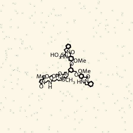 COCCOCCOCCN(CC(C)(C)SSCCCC(=O)NCCN1C(=O)C=CC1=O)c1cc(COc2cc3c(cc2OC)C(=O)N2c4ccccc4CC2N3)cc(COc2cc3c(cc2OC)C(=O)N2c4ccccc4CC2C(S(=O)(=O)O)N3)c1